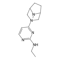 CCNc1nccc(N2CC3CCC(C2)N3C)n1